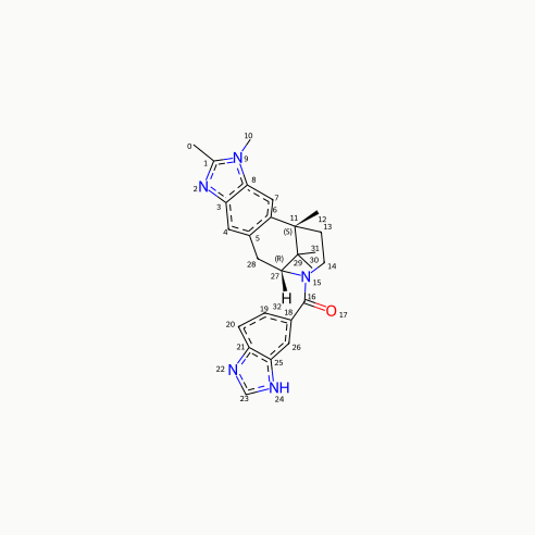 Cc1nc2cc3c(cc2n1C)[C@]1(C)CCN(C(=O)c2ccc4nc[nH]c4c2)[C@H](C3)C1(C)C